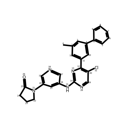 Cc1cc(-c2ccccc2)cc(-c2nc(Nc3cncc(N4CCCC4=O)c3)ncc2Cl)c1